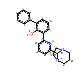 Oc1c(-c2ccccc2)cccc1-c1cccc(C2N3CCCN2CC3)n1